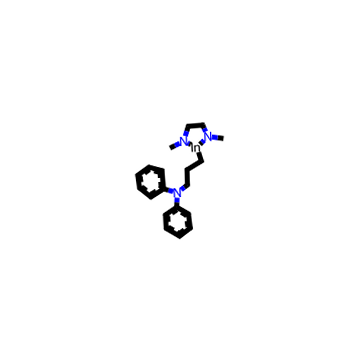 C[N]1CC[N](C)[In]1[CH2]CCN(c1ccccc1)c1ccccc1